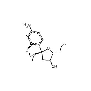 C[SiH2][C@]1(n2ccc(N)nc2=O)C[C@H](O)[C@@H](CO)O1